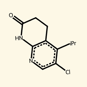 CC(C)c1c(Cl)cnc2c1CCC(=O)N2